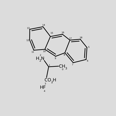 CC(N)C(=O)O.F.c1ccc2cc3ccccc3cc2c1